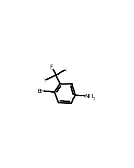 Nc1ccc(Br)c(C(F)(I)I)c1